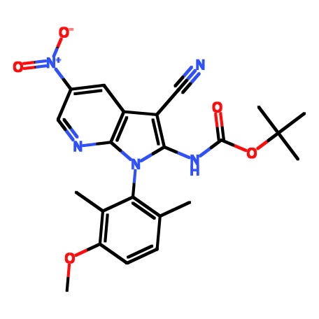 COc1ccc(C)c(-n2c(NC(=O)OC(C)(C)C)c(C#N)c3cc([N+](=O)[O-])cnc32)c1C